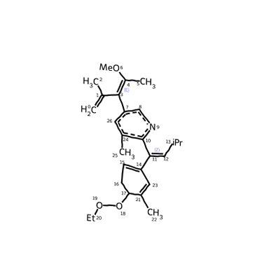 C=C(C)/C(=C(/C)OC)c1cnc(/C(=C\C(C)C)C2=CCC(OOCC)C(C)=C2)c(C)c1